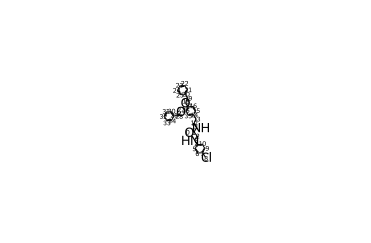 O=C(CNc1ccc(Cl)cc1)NCCc1ccc(OCc2ccccc2)c(OCc2ccccc2)c1